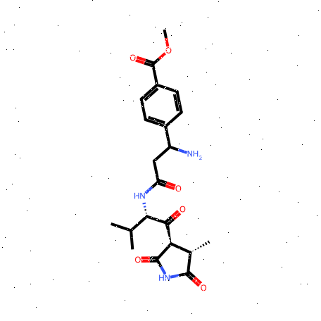 COC(=O)c1ccc(C(N)CC(=O)N[C@H](C(=O)[C@@H]2C(=O)NC(=O)[C@H]2C)C(C)C)cc1